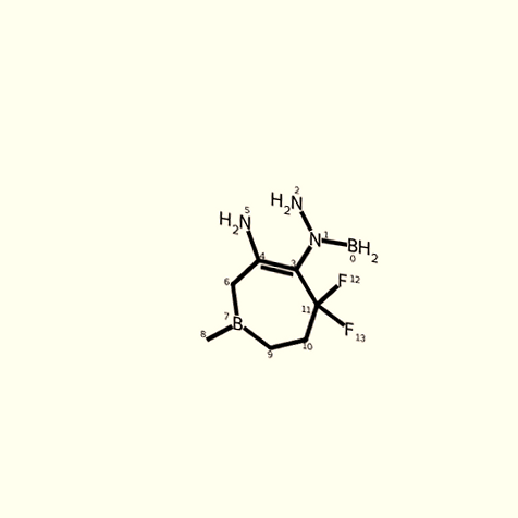 BN(N)C1=C(N)CB(C)CCC1(F)F